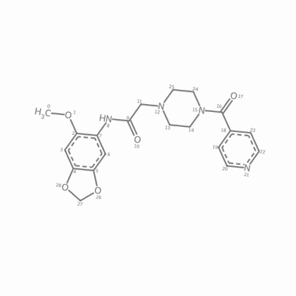 COc1cc2c(cc1NC(=O)CN1CCN(C(=O)c3ccncc3)CC1)OCO2